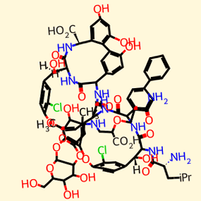 CC(C)C[C@@H](N)C(=O)NC1C(=O)NC(CC(N)=O)C(=O)N[C@H]2C(=O)NC3C(=O)N[C@H](C(=O)N[C@@H](C(=O)O)c4cc(O)cc(O)c4-c4cc3ccc4O)[C@H](O)c3ccc(c(Cl)c3)Oc3cc2cc(c3OC2OC(CO)C(O)C(O)C2OC2CC(C)(NCC(OCc3ccc(-c4ccccc4)cc3)C(=O)O)C(O)C(C)O2)Oc2ccc(cc2Cl)[C@H]1O